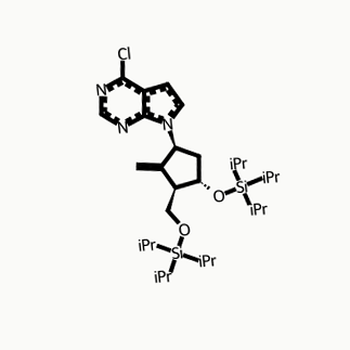 C=C1[C@H](CO[Si](C(C)C)(C(C)C)C(C)C)[C@@H](O[Si](C(C)C)(C(C)C)C(C)C)C[C@@H]1n1ccc2c(Cl)ncnc21